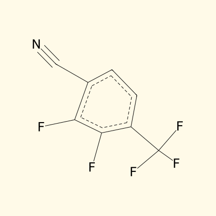 N#Cc1ccc(C(F)(F)F)c(F)c1F